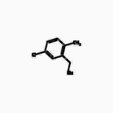 [CH2]CC(C)Cc1cc(Cl)ccc1C